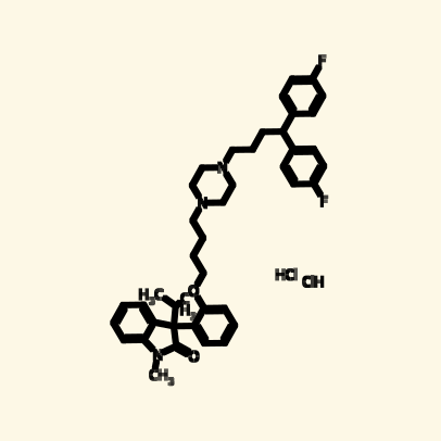 CC(C)C1(c2ccccc2OCCCCN2CCN(CCCC(c3ccc(F)cc3)c3ccc(F)cc3)CC2)C(=O)N(C)c2ccccc21.Cl.Cl